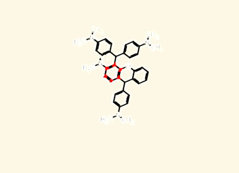 CN(C)c1ccc(C(c2ccc(N(C)C)cc2)c2ccccc2Oc2ccccc2C(c2ccc(N(C)C)cc2)c2ccc(N(C)C)cc2)cc1